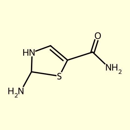 NC(=O)C1=CNC(N)S1